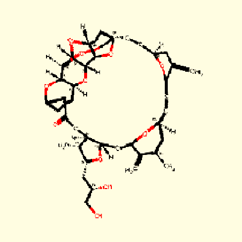 C=C1C[C@@H]2CC[C@@]34C[C@H]5O[C@H]6[C@@H](O3)[C@H]3OC(CC[C@@H]3O[C@H]6C5O4)CC(=O)C[C@@H]3[C@@H](C)[C@@H](C[C@H](O)CO)O[C@H]3CC3O[C@@H](CCC1O2)C[C@@H](C)C3=C